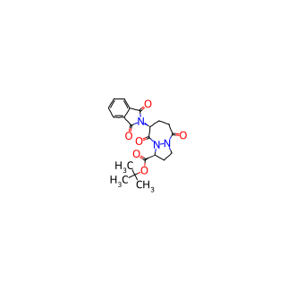 CC(C)(C)OC(=O)[C@@H]1CCN2C(=O)CC[C@H](N3C(=O)c4ccccc4C3=O)C(=O)N12